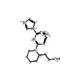 C=C(/N=C(\C=C/N)N1CCCCC1CCO)n1ccnc1